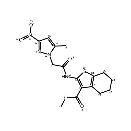 COC(=O)c1c(NC(=O)Cn2nc([N+](=O)[O-])cc2C)sc2c1CCCC2